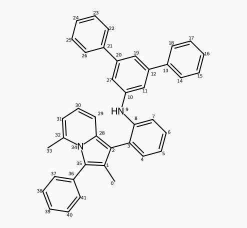 Cc1c(-c2ccccc2Nc2cc(-c3ccccc3)cc(-c3ccccc3)c2)c2cccc(C)n2c1-c1ccccc1